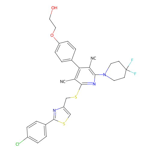 [C-]#[N+]c1c(N2CCC(F)(F)CC2)nc(SCc2csc(-c3ccc(Cl)cc3)n2)c(C#N)c1-c1ccc(OCCO)cc1